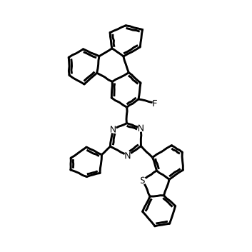 Fc1cc2c3ccccc3c3ccccc3c2cc1-c1nc(-c2ccccc2)nc(-c2cccc3c2sc2ccccc23)n1